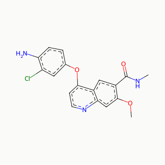 CNC(=O)c1cc2c(Oc3ccc(N)c(Cl)c3)ccnc2cc1OC